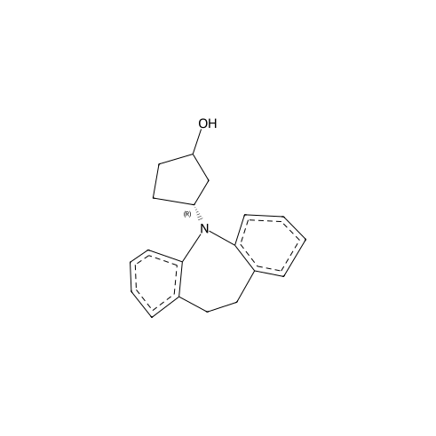 OC1CC[C@@H](N2c3ccccc3CCc3ccccc32)C1